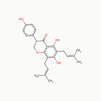 CC(C)=CCc1c(O)c(CC=C(C)C)c2c(c1O)C(=O)C(c1ccc(O)cc1)CO2